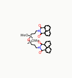 CO[Si](C)(CCCN1C(=O)c2cccc3cccc(c23)C1=O)O[Si](C)(CCCN1C(=O)c2cccc3cccc(c23)C1=O)OC